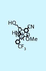 COC(=O)C1=C(C)N(c2cccc(C(F)(F)F)c2)c2n[nH]c(=O)n2[C@H]1c1ccc(C#N)cc1CCCCCO